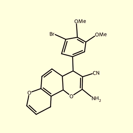 COc1cc(C2C(C#N)=C(N)OC3C4=C(C=CC32)OC=CC4)cc(Br)c1OC